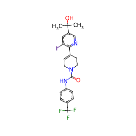 CC(C)(O)c1cnc(C2=CCN(C(=O)Nc3ccc(C(F)(F)F)cc3)CC2)c(I)c1